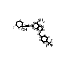 C[C@@H]1CCC[C@@](O)(C#Cc2nc(N)c3ncn(Cc4ccc(C(F)(F)F)cc4)c3n2)C1